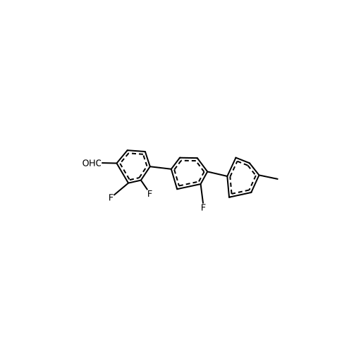 Cc1ccc(-c2ccc(-c3ccc(C=O)c(F)c3F)cc2F)cc1